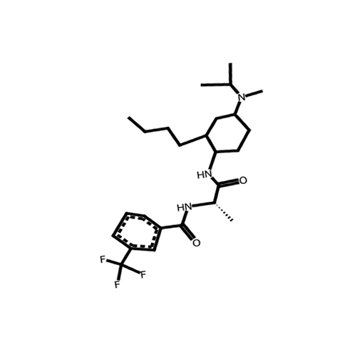 CCCCC1CC(N(C)C(C)C)CCC1NC(=O)[C@H](C)NC(=O)c1cccc(C(F)(F)F)c1